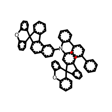 c1ccc(-c2ccc(-c3ccccc3N(c3ccc4c(c3)C3(c5ccccc5Oc5ccccc53)c3ccccc3-4)c3ccc4ccc5c(c4c3)-c3ccccc3C53c4ccccc4Oc4ccccc43)cc2)cc1